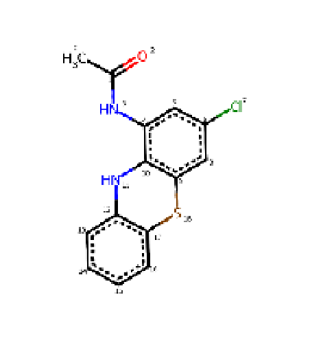 CC(=O)Nc1cc(Cl)cc2c1Nc1ccccc1S2